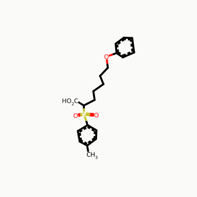 Cc1ccc(S(=O)(=O)C(CCCCCOc2ccccc2)C(=O)O)cc1